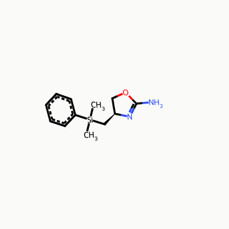 C[Si](C)(C[C@H]1COC(N)=N1)c1ccccc1